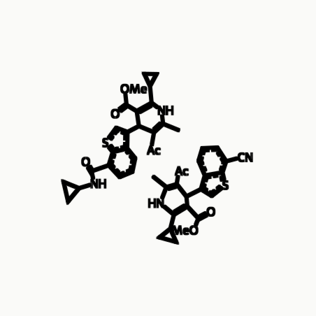 COC(=O)C1=C(C2CC2)NC(C)=C(C(C)=O)C1c1csc2c(C#N)cccc12.COC(=O)C1=C(C2CC2)NC(C)=C(C(C)=O)C1c1csc2c(C(=O)NC3CC3)cccc12